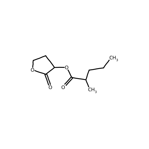 CCCC(C)C(=O)OC1CCOC1=O